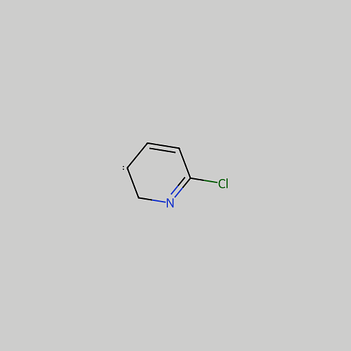 ClC1=NC[C]C=C1